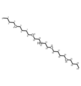 CCCCOCCCCOCCNCCOCCCCOCCCC